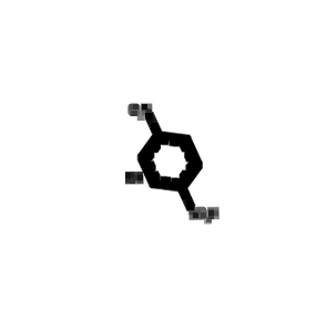 O=[N+]([O-])c1ccc(S(=O)(=O)O)cc1.[KH]